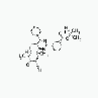 C[C@H]1C(=O)C(C#N)=C[C@@]2(C)c3nc(C4=CCCN(C(=O)OC(C)(C)C)C4)nc(-c4ccccc4)c3CC[C@H]12